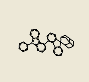 c1ccc(-n2c3ccccc3c3c(-c4cccc5c4-c4ccccc4C54C5CC6CC(C5)CC4C6)cccc32)cc1